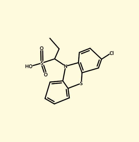 CCC(N1c2ccccc2Sc2cc(Cl)ccc21)S(=O)(=O)O